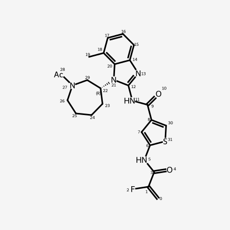 C=C(F)C(=O)Nc1cc(C(=O)Nc2nc3cccc(C)c3n2[C@@H]2CCCCN(C(C)=O)C2)cs1